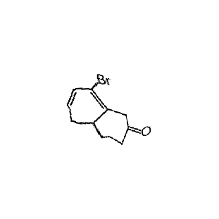 O=C1CCC2CC=CC(Br)=C2C1